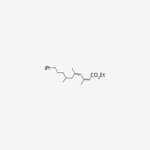 CCOC(=O)C=C(C)C=C(C)CC(C)CCCC(C)C